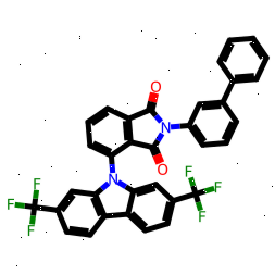 O=C1c2cccc(-n3c4cc(C(F)(F)F)ccc4c4ccc(C(F)(F)F)cc43)c2C(=O)N1c1cccc(-c2ccccc2)c1